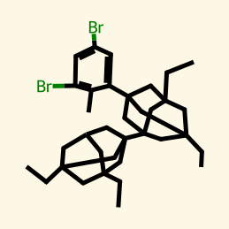 CCC12CC3CC(CC)(C1)CC(C14CC5(CC)CC(CC)(CC(c6cc(Br)cc(Br)c6C)(C5)C1)C4)(C3)C2